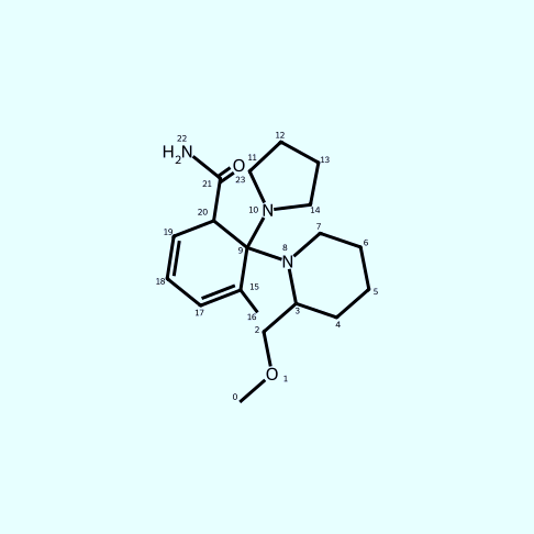 COCC1CCCCN1C1(N2CCCC2)C(C)=CC=CC1C(N)=O